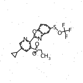 CCS(=O)(=O)c1cc(C2CC2)cnc1-c1nc2cc(SOC(F)(F)F)ccc2o1